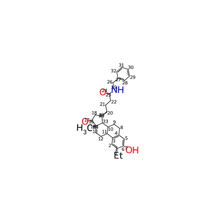 CCc1cc2c(cc1O)CCC1C2CC[C@]2(C)C(=O)C[C@@H](CCCC(=O)NCc3ccccc3)C12